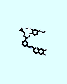 O=C(O)c1cc(OCF)ccc1OC[C@H](OCC1CC1)c1cccc(/C=C/c2ccc3cc(F)c(F)cc3n2)c1